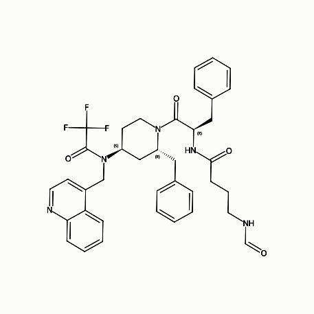 O=CNCCCC(=O)N[C@H](Cc1ccccc1)C(=O)N1CC[C@H](N(Cc2ccnc3ccccc23)C(=O)C(F)(F)F)C[C@H]1Cc1ccccc1